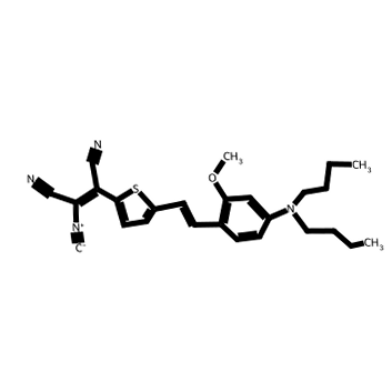 [C-]#[N+]/C(C#N)=C(/C#N)c1ccc(/C=C/c2ccc(N(CCCC)CCCC)cc2OC)s1